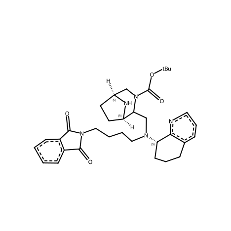 CC(C)(C)OC(=O)N1C[C@@H]2CC[C@@H](N2)C1CN(CCCCN1C(=O)c2ccccc2C1=O)[C@H]1CCCc2cccnc21